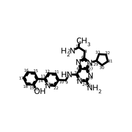 CC(N)Cc1nc2c(NCc3ccc(-c4ccccc4O)nc3)nc(N)nc2n1C1CCCC1